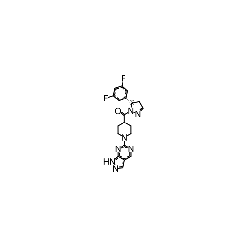 O=C(C1CCN(c2ncc3cn[nH]c3n2)CC1)N1N=CC[C@H]1c1cc(F)cc(F)c1